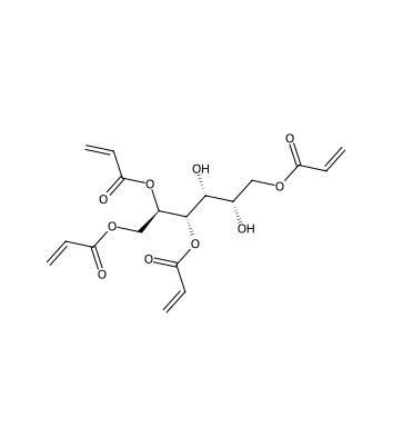 C=CC(=O)OC[C@H](O)[C@@H](O)[C@H](OC(=O)C=C)[C@@H](COC(=O)C=C)OC(=O)C=C